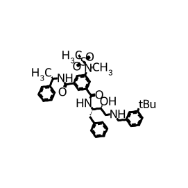 C[C@@H](NC(=O)c1cc(C(=O)N[C@@H](Cc2ccccc2)[C@H](O)CNCc2cccc(C(C)(C)C)c2)cc(N(C)S(C)(=O)=O)c1)c1ccccc1